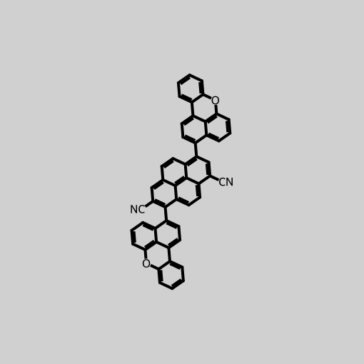 N#Cc1cc2ccc3c(-c4ccc5c6c(cccc46)Oc4ccccc4-5)cc(C#N)c4ccc(c1-c1ccc5c6c(cccc16)Oc1ccccc1-5)c2c43